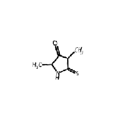 CC1NC(=S)C(C)C1=O